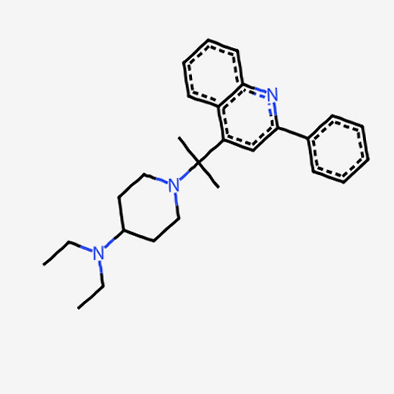 CCN(CC)C1CCN(C(C)(C)c2cc(-c3ccccc3)nc3ccccc23)CC1